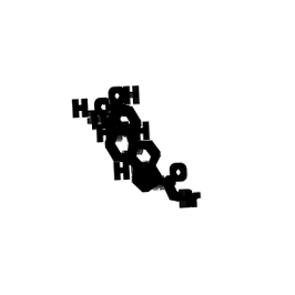 C[C@@]1(O)CC[C@@]2(C)[C@@H](CC[C@@H]3[C@@H]2CC[C@@]24C[C@@]32CC[C@@H]4C(=O)CBr)C1